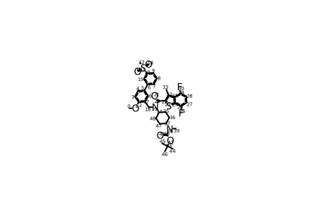 COc1ccc(-c2cccc(S(C)(=O)=O)c2)cc1CN(C(=O)c1sc2c(F)ccc(F)c2c1C)[C@H]1CC[C@H](N(C)C(=O)OC(C)(C)C)CC1